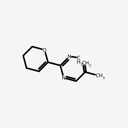 C=C(C)/C=N\C(=N/C)C1=CCCCO1